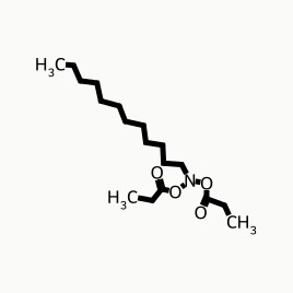 CCCCCCCCCCCCN(OC(=O)CC)OC(=O)CC